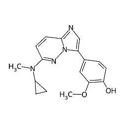 COc1cc(-c2cnc3ccc(N(C)C4CC4)nn23)ccc1O